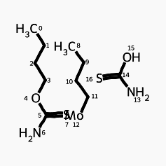 CCCCOC(N)=S.CCC[CH2][Mo].NC(O)=S